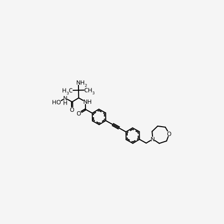 CC(C)(N)C(NC(=O)c1ccc(C#Cc2ccc(CN3CCCOCC3)cc2)cc1)C(=O)NO